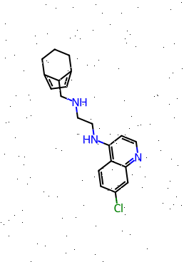 Clc1ccc2c(NCCNCC3C4=CC=C3CCC4)ccnc2c1